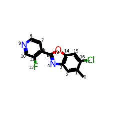 Cc1cc2nc(-c3ccncc3F)oc2cc1Cl